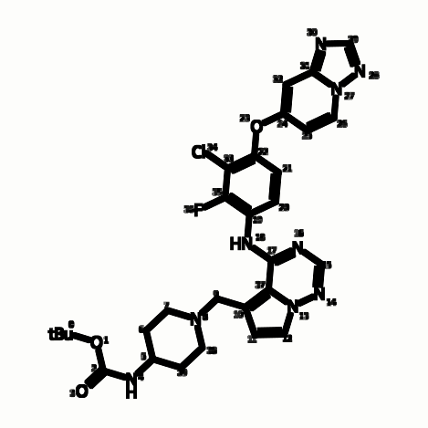 CC(C)(C)OC(=O)NC1CCN(Cc2ccn3ncnc(Nc4ccc(Oc5ccn6ncnc6c5)c(Cl)c4F)c23)CC1